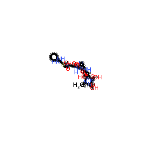 CC(C)CN1CCN(CC(=O)O)CCN(CC(=O)O)CC(Cc2ccc(C(=O)NC(Cc3ccccc3)C(=O)NCC(=O)NC(CCCCN3C(=O)CC(SCCCC(=N)NC4=C/C=C\C=C/C=C\C=C/C=C\4)C3=O)C(=O)O)cc2)N(CC(=O)O)CC1